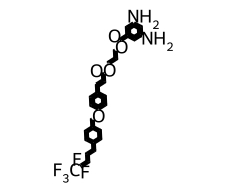 Nc1cc(N)cc(C(=O)OCCCOC(=O)C=Cc2ccc(OCC3CCC(CCCC(F)(F)C(F)(F)F)CC3)cc2)c1